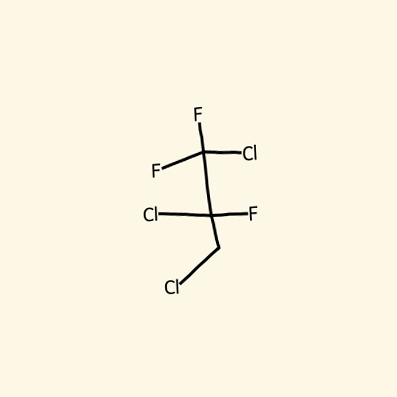 FC(F)(Cl)C(F)(Cl)CCl